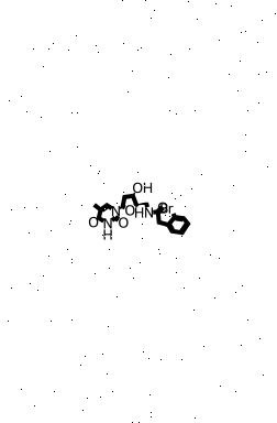 Cc1cn([C@H]2C[C@H](O)[C@@H](CNC(=O)Cc3ccccc3Br)O2)c(=O)[nH]c1=O